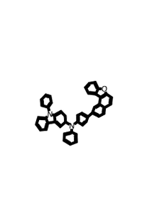 C1=c2c(n(-c3ccccc3)c3ccccc23)=CCC1N(c1ccccc1)c1ccc(-c2ccc3ccc4oc5ccccc5c4c3c2)cc1